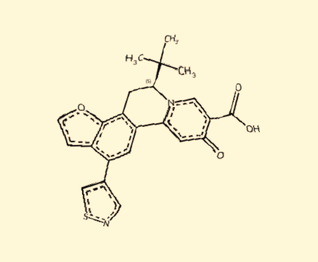 CC(C)(C)[C@@H]1Cc2c(cc(-c3cnsc3)c3ccoc23)-c2cc(=O)c(C(=O)O)cn21